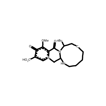 CCCCC1CCCCCCNC2Cn3cc(C(=O)O)c(=O)c(OC)c3C(=O)N12